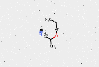 C[CH2][Al+][O]C(C)C.[C-]#N